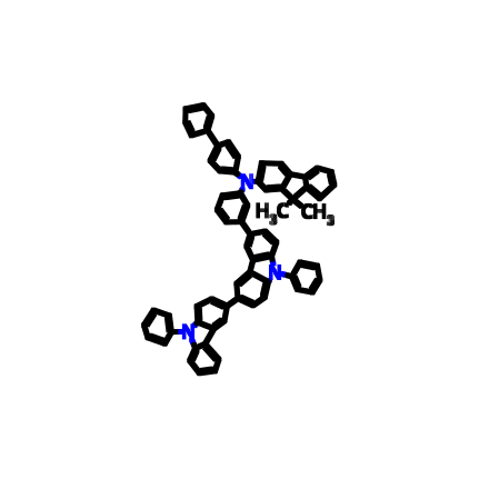 CC1(C)c2ccccc2-c2ccc(N(c3ccc(-c4ccccc4)cc3)c3cccc(-c4ccc5c(c4)c4cc(-c6ccc7c(c6)c6ccccc6n7-c6ccccc6)ccc4n5-c4ccccc4)c3)cc21